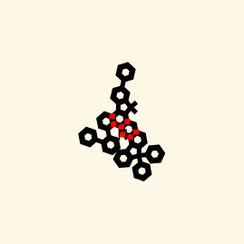 CC1(C)c2cc(-c3ccccc3)ccc2-c2ccc(N(c3cccc(-c4ccccc4)c3-c3ccccc3-c3ccccc3)c3cccc4c3-c3ccccc3C4(c3ccccc3)c3ccccc3)cc21